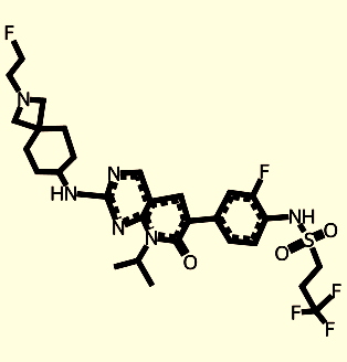 CC(C)n1c(=O)c(-c2ccc(NS(=O)(=O)CCC(F)(F)F)c(F)c2)cc2cnc(NC3CCC4(CC3)CN(CCF)C4)nc21